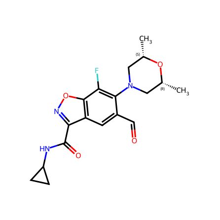 C[C@@H]1CN(c2c(C=O)cc3c(C(=O)NC4CC4)noc3c2F)C[C@H](C)O1